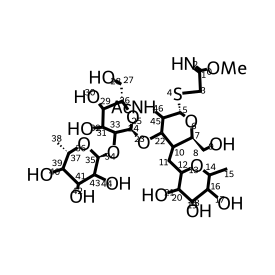 COC(=N)CS[C@@H]1O[C@@H](CO)C(CC2OC(C)C(O)C(O)C2O)C(O[C@@H]2O[C@@H](CO)C(O)C(O)C2O[C@@H]2O[C@@H](C)C(O)C(O)C2O)C1NC(C)=O